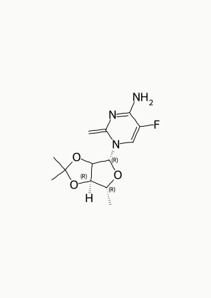 C=C1N=C(N)C(F)=CN1[C@@H]1O[C@H](C)[C@H]2OC(C)(C)OC12